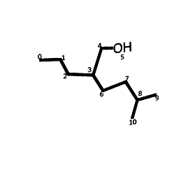 CCCC(CO)CCC(C)C